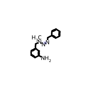 CN(Cc1cccc(N)c1)/N=N\Cc1ccccc1